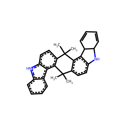 CC1(C)c2ccc3[nH]c4ccccc4c3c2C(C)(C)c2ccc3c(c21)C1C=CC=CC1N3